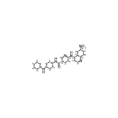 O=C(Nc1ccc(Nc2ccccc2)cc1)c1ccc(Nc2ccnc3ccc([N+](=O)[O-])cc23)nc1